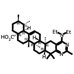 CCN(CC)c1nc(C)nc2c1C[C@]1(C)[C@H]3CC=C4[C@@H]5[C@@H](C)[C@H](C)CC[C@]5(C(=O)O)CC[C@@]4(C)[C@]3(C)CC[C@H]1C2(C)C